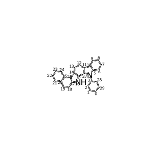 c1ccc(-n2c3ccccc3c3ccc4c([nH]c5ccc6ccccc6c54)c32)cc1